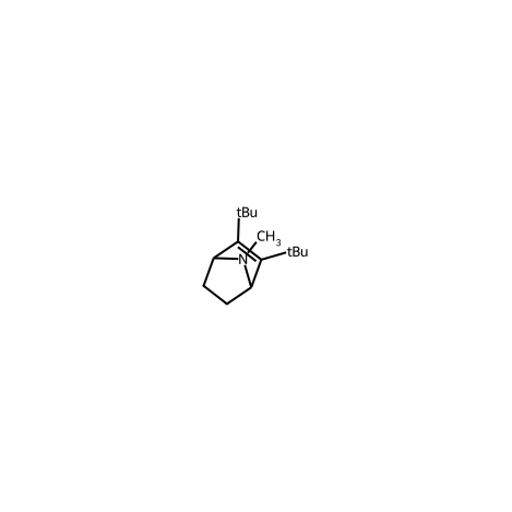 CN1C2CCC1C(C(C)(C)C)=C2C(C)(C)C